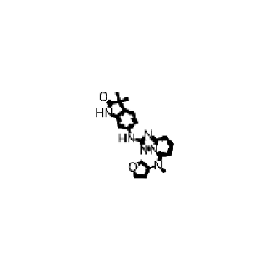 CN(c1cccc2nc(Nc3ccc4c(c3)NC(=O)C4(C)C)nn12)[C@H]1CCOC1